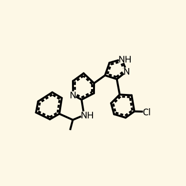 CC(Nc1cc(-c2c[nH]nc2-c2cccc(Cl)c2)ccn1)c1ccccc1